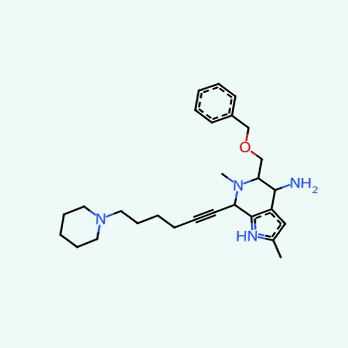 Cc1cc2c([nH]1)C(C#CCCCCN1CCCCC1)N(C)C(COCc1ccccc1)C2N